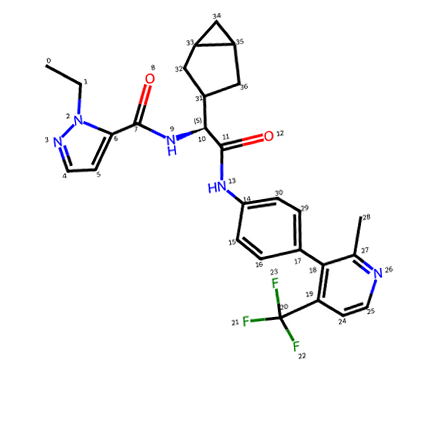 CCn1nccc1C(=O)N[C@H](C(=O)Nc1ccc(-c2c(C(F)(F)F)ccnc2C)cc1)C1CC2CC2C1